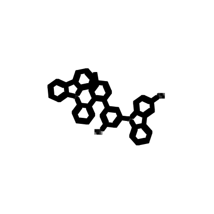 Cc1ccc(-c2cc(C#N)cc(-n3c4ccccc4c4cc(C#N)ccc43)c2)c(-c2ccccc2-n2c3ccccc3c3ccccc32)c1